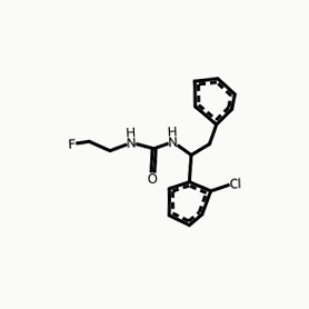 O=C(NCCF)NC(Cc1ccccc1)c1ccccc1Cl